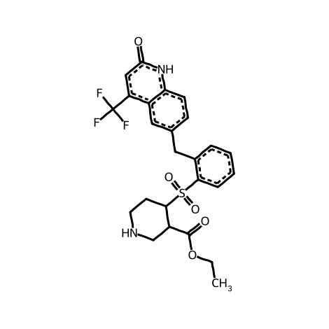 CCOC(=O)C1CNCCC1S(=O)(=O)c1ccccc1Cc1ccc2[nH]c(=O)cc(C(F)(F)F)c2c1